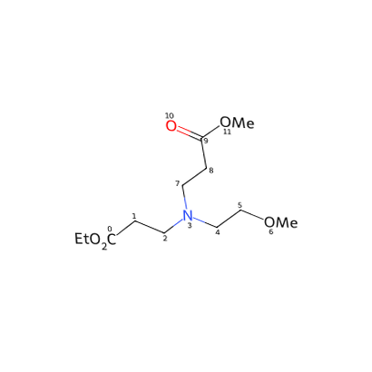 CCOC(=O)CCN(CCOC)CCC(=O)OC